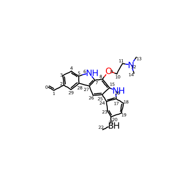 C=Cc1ccc2[nH]c3c(OCCN(C)C)c4[nH]c5ccc(BC)cc5c4cc3c2c1